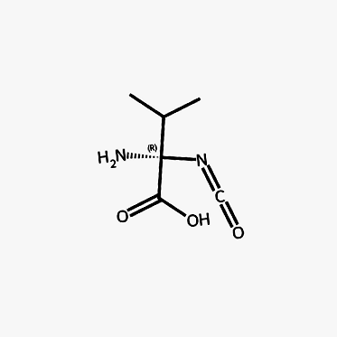 CC(C)[C@@](N)(N=C=O)C(=O)O